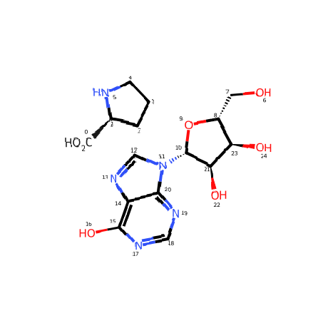 O=C(O)[C@@H]1CCCN1.OC[C@H]1O[C@@H](n2cnc3c(O)ncnc32)[C@H](O)[C@@H]1O